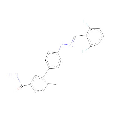 Cc1ccc(C(N)=O)cc1-c1ccc(N/N=C/c2c(F)cccc2F)cc1